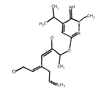 C=CCC(=C/CCl)/C=C(/Cl)C(C)Oc1cc(C(C)C)c(=N)n(C)n1